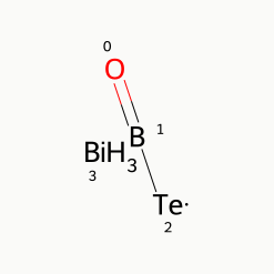 O=B[Te].[BiH3]